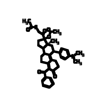 CC(=O)O[C@]1(C(=O)CSC(C)=O)CCC2C3CCC4=C(C(=O)c5ccccc5)C(=O)CCC4=C3C(c3ccc(N(C)C)cc3)C[C@@]21C